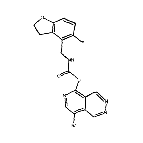 O=C(NCc1c(F)ccc2c1CCO2)Oc1ncc(Br)c2cnncc12